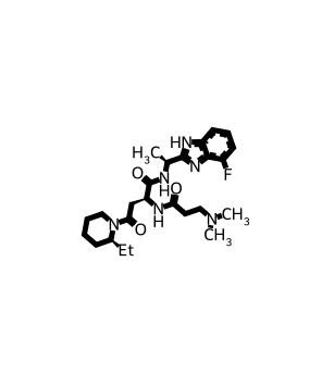 CC[C@H]1CCCCN1C(=O)C[C@H](NC(=O)CCN(C)C)C(=O)N[C@@H](C)c1nc2c(F)cccc2[nH]1